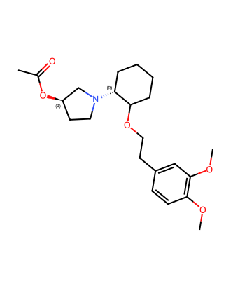 COc1ccc(CCOC2CCCC[C@H]2N2CC[C@@H](OC(C)=O)C2)cc1OC